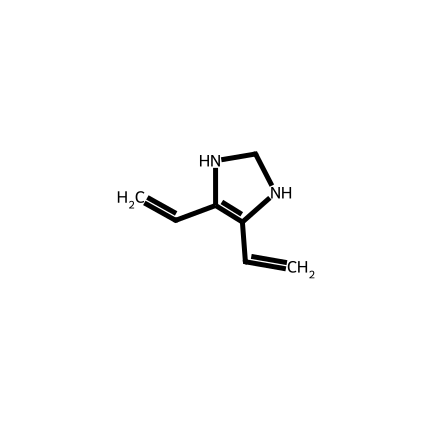 C=CC1=C(C=C)NCN1